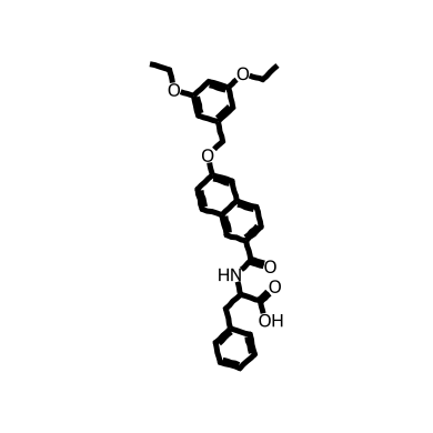 CCOc1cc(COc2ccc3cc(C(=O)NC(Cc4ccccc4)C(=O)O)ccc3c2)cc(OCC)c1